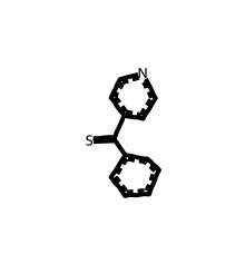 S=C(c1ccccc1)c1ccncc1